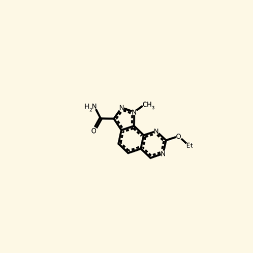 CCOc1ncc2ccc3c(C(N)=O)nn(C)c3c2n1